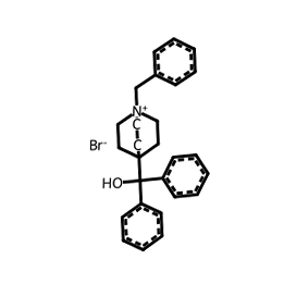 OC(c1ccccc1)(c1ccccc1)C12CC[N+](Cc3ccccc3)(CC1)CC2.[Br-]